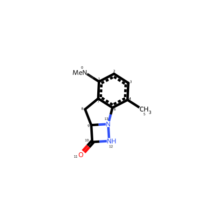 CNc1ccc(C)c2c1CC1C(=O)NN21